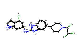 FC(F)C(F)N1CCC(c2ccc3[nH]c(Nc4cc(Cl)c5cc[nH]c5c4)nc3c2)CC1